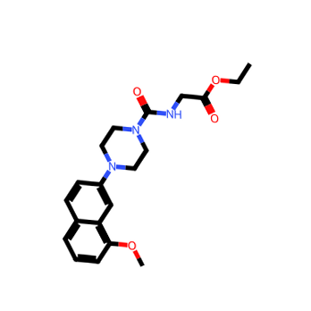 CCOC(=O)CNC(=O)N1CCN(c2ccc3cccc(OC)c3c2)CC1